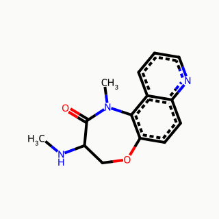 CNC1COc2ccc3ncccc3c2N(C)C1=O